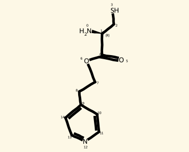 N[C@@H](CS)C(=O)OCCc1ccncc1